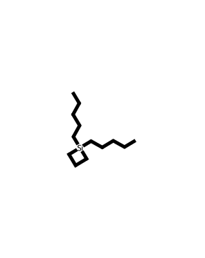 CCCCC[Si]1(CCCCC)CCC1